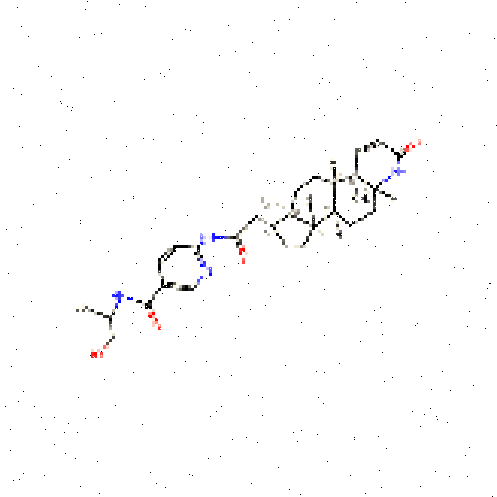 CCC(CO)NC(=O)c1ccc(NC(=O)C[C@H]2CC[C@H]3[C@@H]4CC[C@H]5NC(=O)C=C[C@]5(C)[C@H]4CC[C@]23C)nc1